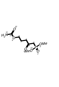 COP(=O)(CC(=O)CCCOC(N)=O)OC